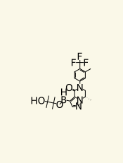 Cc1cc(N2C[C@H](C)n3ncc(BOC(C)(C)C(C)(C)O)c3C2=O)ccc1C(F)(F)F